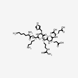 N=C(N)NCCC[C@H](NC(=O)[C@H](Cc1c[nH]cn1)NC(=O)[C@H](CCCCN)NC(=O)[C@@H](N)CCCCN)C(=O)N[C@@H](CCC(=O)O)C(=O)N[C@@H](CCC(=O)O)C(=O)O